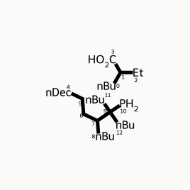 CCCCC(CC)C(=O)O.CCCCCCCCCCCCC(CCCC)C(P)(CCCC)CCCC